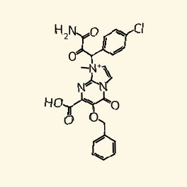 C[N+]1(C(C(=O)C(N)=O)c2ccc(Cl)cc2)C=Cn2c1nc(C(=O)O)c(OCc1ccccc1)c2=O